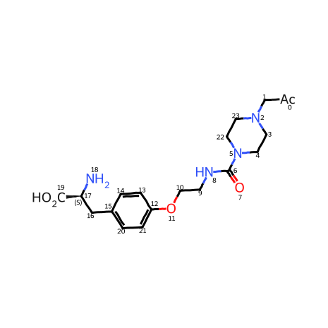 CC(=O)CN1CCN(C(=O)NCCOc2ccc(C[C@H](N)C(=O)O)cc2)CC1